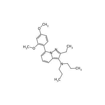 CCCN(CCC)c1c(CC)nn2c(-c3ccc(OC)cc3OC)cccc12